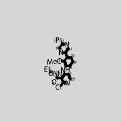 CCONC(=O)c1c(Nc2cccc(-c3cnc(C(C)C)cn3)c2OC)ccnc1Cl